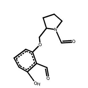 O=Cc1c(O)cccc1OCC1CCCN1C=O